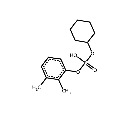 Cc1cccc(OP(=O)(O)OC2CCCCC2)c1C